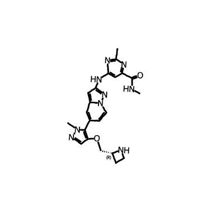 CNC(=O)c1cc(Nc2cc3cc(-c4c(OC[C@H]5CCN5)cnn4C)ccn3n2)nc(C)n1